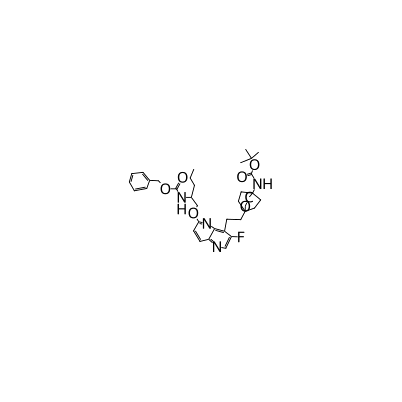 CCCC(COc1ccc2ncc(F)c(CCC34CCC(NC(=O)OC(C)(C)C)(CC3)CO4)c2n1)NC(=O)OCc1ccccc1